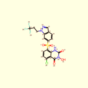 O=c1[nH]c2c(S(=O)(=O)c3ccc4cnn(CCC(F)(F)F)c4c3)ccc(Cl)c2c(=O)n1O